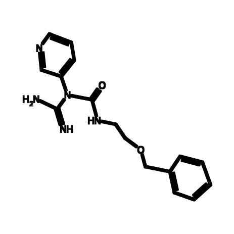 N=C(N)N(C(=O)NCCOCc1ccccc1)c1cccnc1